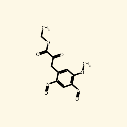 CCOC(=O)C(=O)Cc1cc(OC)c(N=O)cc1N=O